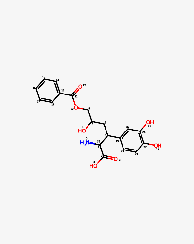 N[C@H](C(=O)O)C(CC(O)COC(=O)c1ccccc1)c1ccc(O)c(O)c1